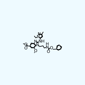 CCn1nc(C)cc1Nc1nc2cc(C(=O)OC)cc(OC)c2n1CCCNC(=O)OCc1ccccc1